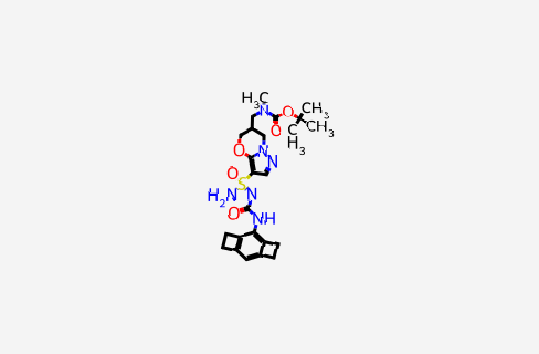 CN(CC1COc2c(S(N)(=O)=NC(=O)Nc3c4c(cc5c3CC5)CC4)cnn2C1)C(=O)OC(C)(C)C